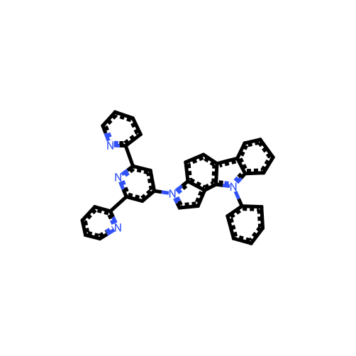 c1ccc(-n2c3ccccc3c3ccc4c(ccn4-c4cc(-c5ccccn5)nc(-c5ccccn5)c4)c32)cc1